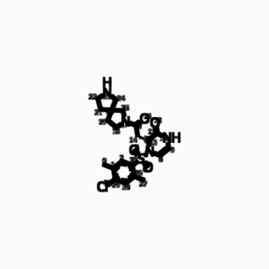 Cc1cc(S(=O)(=O)N2C=CNC(=O)[C@H]2CC(=O)N2CCC3(CCNC3)C2)c(C)cc1Cl